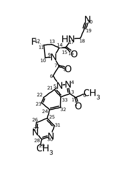 CC(=O)c1nn(CC(=O)N2C[C@H](F)C[C@H]2C(=O)NCC#N)c2ccc(-c3cnc(C)nc3)cc12